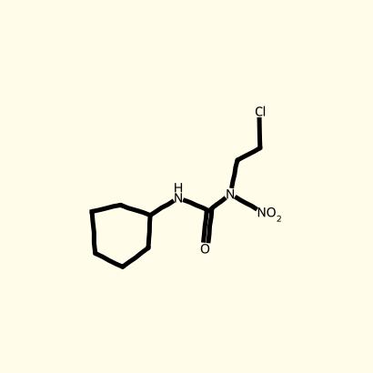 O=C(NC1CCCCC1)N(CCCl)[N+](=O)[O-]